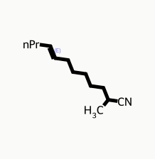 CCC/C=C/CCCCCC(C)C#N